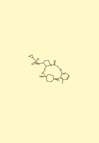 Cc1cccc2c1[C@H]1CC[C@H](CC1)OCC1C(NS(=O)(=O)C3CC3)CCN1C(=O)CO2